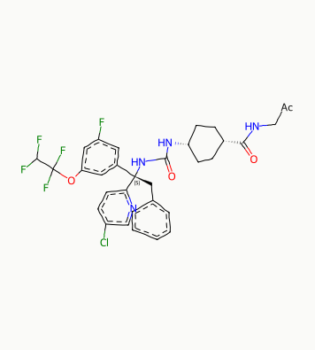 CC(=O)CNC(=O)[C@H]1CC[C@@H](NC(=O)N[C@@](Cc2ccccc2)(c2cc(F)cc(OC(F)(F)C(F)F)c2)c2ccc(Cl)cn2)CC1